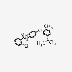 Cc1ccc(C(C)C)cc1Oc1ccc(NC(=O)c2ccccc2Cl)cc1